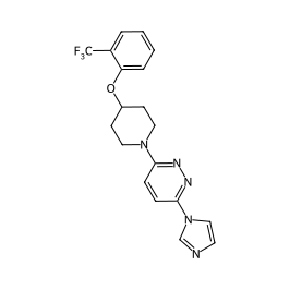 FC(F)(F)c1ccccc1OC1CCN(c2ccc(-n3ccnc3)nn2)CC1